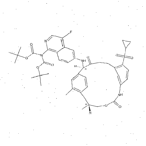 Cc1cc2ccc1[C@@H](C)COC(=O)Nc1ccc(S(=O)(=O)C3CC3)c(c1)CCC(=O)[C@@H]2Nc1ccc2c(N(C(=O)OC(C)(C)C)C(=O)OC(C)(C)C)ncc(F)c2c1